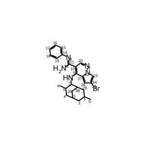 CC1CC2CC(C)C(Nc3c(/C(N)=N/c4ccccc4)cnn4cc(Br)cc34)C(C1)C2